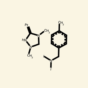 CN1CN(C)[C](=[Pt])N1.Cc1ccc(CN(I)I)cc1